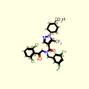 O=C(CN(Cc1cc(F)cc(F)c1)C(=O)c1cnn([C@H]2CC[C@H](C(=O)O)CC2)c1C(F)(F)F)c1c(Cl)cccc1Cl